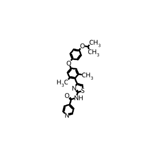 Cc1cc(Oc2ccc(OC(C)C)cc2)cc(C)c1-c1csc(NC(=O)c2ccncc2)n1